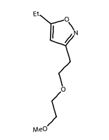 CCc1cc(CCOCCOC)no1